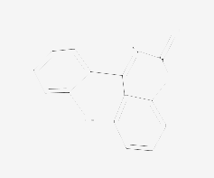 O=c1nc(-c2ccccc2O)c2ccccc2o1